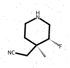 C[C@]1(CC#N)CCNC[C@@H]1F